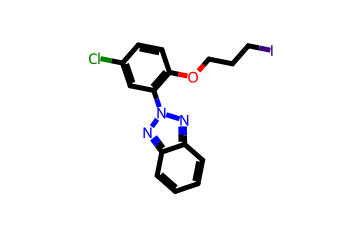 Clc1ccc(OCCCI)c(-n2nc3ccccc3n2)c1